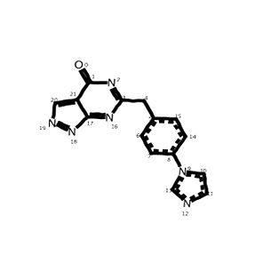 O=C1N=C(Cc2ccc(-n3ccnc3)cc2)N=C2N=NC=C12